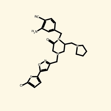 N#Cc1ccc(CN2C(=O)CN(Cc3cc(-c4ccc(Cl)s4)on3)CC2CN2CCCC2)cc1N